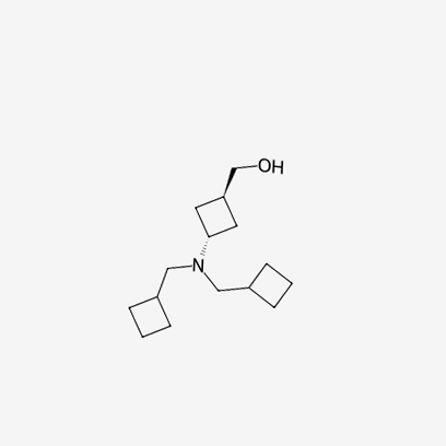 OC[C@H]1C[C@H](N(CC2CCC2)CC2CCC2)C1